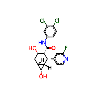 O=C(Nc1ccc(Cl)c(Cl)c1)[C@@H]1[C@H](c2ccnc(F)c2)[C@@H]2[C@@H](O)[C@@H]2C[C@@H]1O